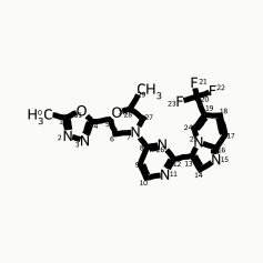 Cc1nnc(C2CN(c3ccnc(-c4cnc5ccc(C(F)(F)F)cn45)n3)CC(C)O2)o1